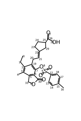 CCc1c(C)c2c(c(OS(=O)(=O)c3ccc(C)cc3)c1CC=C1CCC(C(=O)O)C1)C(=O)OC2